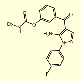 CCNC(=O)Oc1cccc(C(=O)c2cnn(-c3ccc(F)cc3)c2N)c1